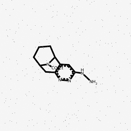 CCOC(=O)N1C2CCCC1c1cc(NN)nnc1C2